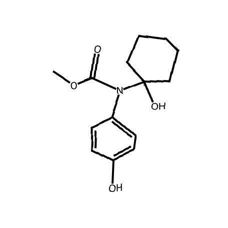 COC(=O)N(c1ccc(O)cc1)C1(O)CCCCC1